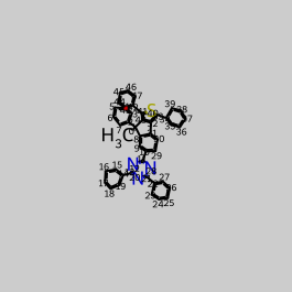 CC1(c2ccccc2)c2cc(-c3nc(-c4ccccc4)nc(-c4ccccc4)n3)ccc2-c2c(-c3ccccc3)sc(-c3ccccc3)c21